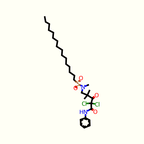 CCCCCCCCCCCCCCCCS(=O)(=O)N(C)CC(C)(C)C(=O)C(Cl)(Cl)C(=O)Nc1ccccc1